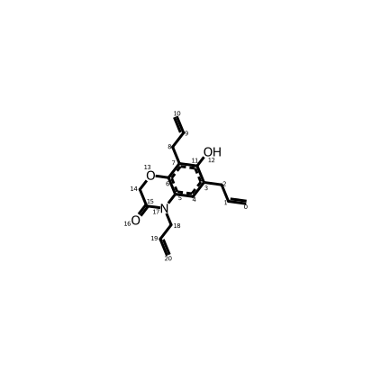 C=CCc1cc2c(c(CC=C)c1O)OCC(=O)N2CC=C